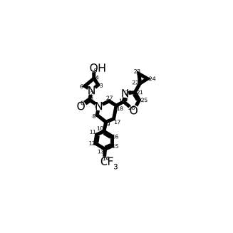 O=C(N1CC(O)C1)N1CC(c2ccc(C(F)(F)F)cc2)CC(c2nc(C3CC3)co2)C1